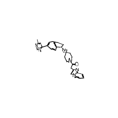 Cc1cc(-c2ccc3c(c2)CCC3N2CC3(CCN(C(=O)Cc4cn5ccccc5n4)CC3)C2)ncn1